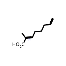 C=CCCC/C=C(\C)C(=O)O